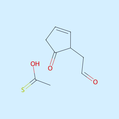 CC(O)=S.O=CCC1C=CCC1=O